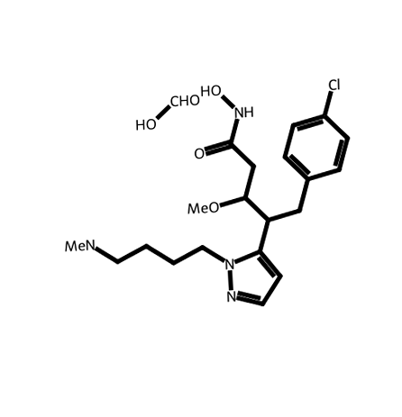 CNCCCCn1nccc1C(Cc1ccc(Cl)cc1)C(CC(=O)NO)OC.O=CO